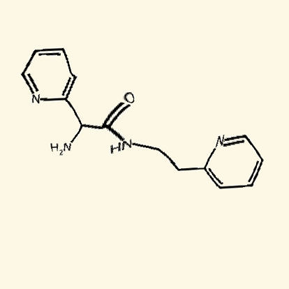 NC(C(=O)NCCc1ccccn1)c1ccccn1